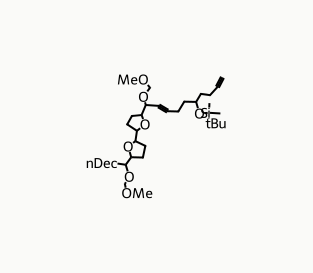 C#CCCC(CCC#CC(OCOC)C1CCC(C2CCC(C(CCCCCCCCCC)OCOC)O2)O1)O[Si](C)(C)C(C)(C)C